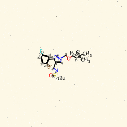 CC(C)(C)[S@+]([O-])N=Cc1cn(COCC[Si](C)(C)C)nc1-c1cc(F)ccc1Br